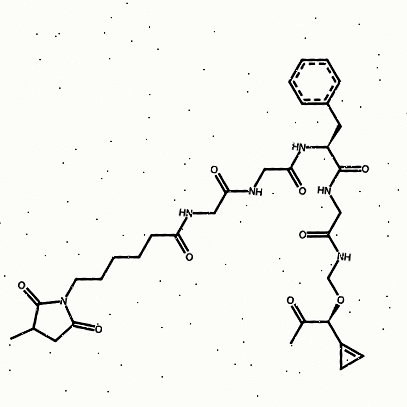 CC(=O)[C@@H](OCNC(=O)CNC(=O)[C@H](Cc1ccccc1)NC(=O)CNC(=O)CNC(=O)CCCCCN1C(=O)CC(C)C1=O)C1=CC1